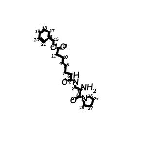 NC(CNC(=O)CCCCCCC(=O)OCc1ccccc1)C(=O)N1CCCC1